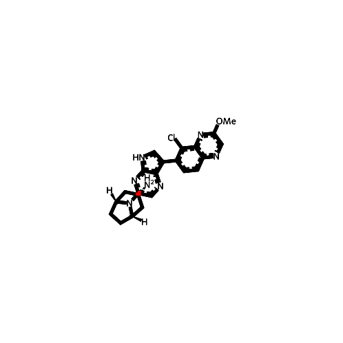 COc1cnc2ccc(-c3c[nH]c4nc(N5[C@@H]6CC[C@H]5C[C@@H](N)C6)cnc34)c(Cl)c2n1